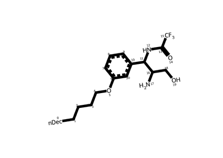 CCCCCCCCCCCCCCOc1cccc(C(NC(=O)C(F)(F)F)C(N)CO)c1